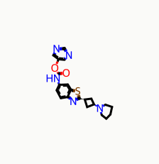 O=C(Nc1ccc2nc([C@H]3C[C@H](N4CCCCC4)C3)sc2c1)Oc1cncnc1